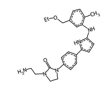 CCOCc1ccc(C)c(Nc2ccc(-c3ccc(N4CCN(CCN)C4=O)cc3)[nH]2)c1